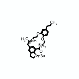 C=CCc1ccc(OCC(F)(F)F)c(OCCN[C@H](C)Cc2cc3c(c(C(N)=O)c2)N(CCCC)CC3)c1